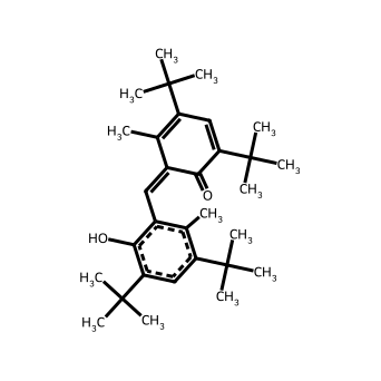 CC1=C(C(C)(C)C)C=C(C(C)(C)C)C(=O)C1=Cc1c(C)c(C(C)(C)C)cc(C(C)(C)C)c1O